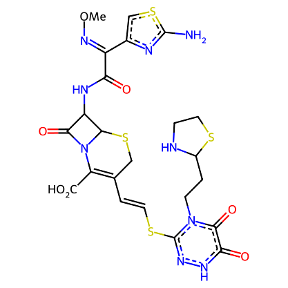 CON=C(C(=O)NC1C(=O)N2C(C(=O)O)=C(C=CSc3n[nH]c(=O)c(=O)n3CCC3NCCS3)CSC12)c1csc(N)n1